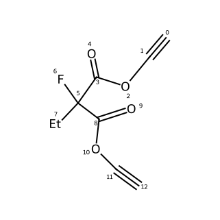 C#COC(=O)C(F)(CC)C(=O)OC#C